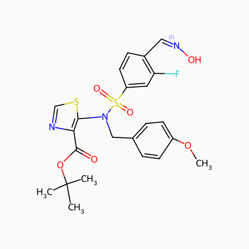 COc1ccc(CN(c2scnc2C(=O)OC(C)(C)C)S(=O)(=O)c2ccc(/C=N\O)c(F)c2)cc1